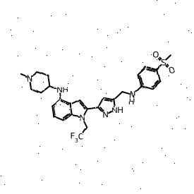 CN1CCC(Nc2cccc3c2cc(-c2cc(CNc4ccc(S(C)(=O)=O)cc4)[nH]n2)n3CC(F)(F)F)CC1